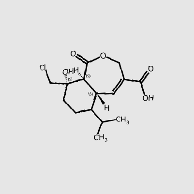 CC(C)C1CC[C@@](O)(CCl)[C@H]2C(=O)OCC(C(=O)O)=C[C@H]12